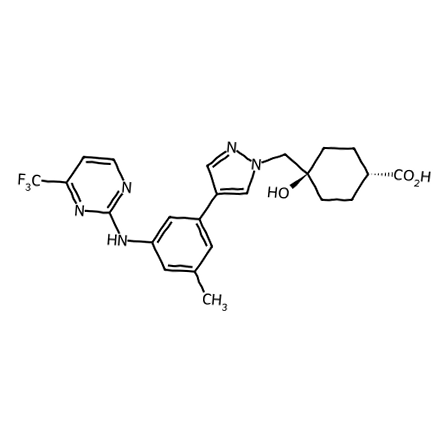 Cc1cc(Nc2nccc(C(F)(F)F)n2)cc(-c2cnn(C[C@]3(O)CC[C@H](C(=O)O)CC3)c2)c1